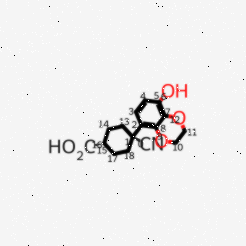 N#C[C@]1(c2ccc(O)c3c2OCCO3)CC[C@@H](C(=O)O)CC1